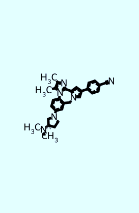 Cc1nc2n(c1C)-c1ccc(N3CC[C@@H](N(C)C)C3)cc1Cn1cc(-c3ccc(C#N)cc3)cc1-2